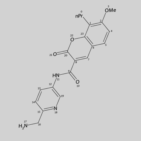 CCCc1c(OC)ccc2cc(C(=O)Nc3ccc(CN)nc3)c(=O)oc12